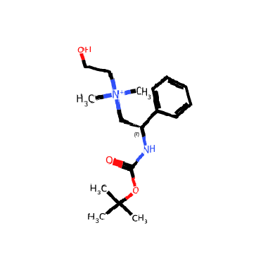 CC(C)(C)OC(=O)N[C@@H](C[N+](C)(C)CCO)c1ccccc1